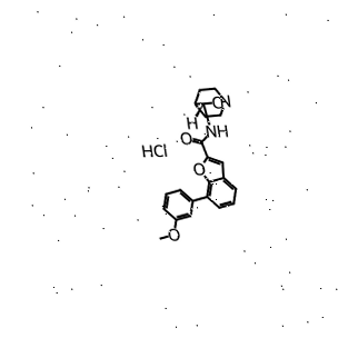 COc1cccc(-c2cccc3cc(C(=O)N[C@H]4CN5CCC4CC5)oc23)c1.Cl